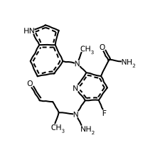 CC(CC=O)N(N)c1nc(N(C)c2cccc3[nH]ccc23)c(C(N)=O)cc1F